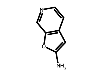 Nc1cc2ccncc2o1